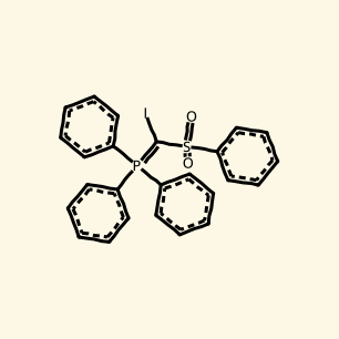 O=S(=O)(C(I)=P(c1ccccc1)(c1ccccc1)c1ccccc1)c1ccccc1